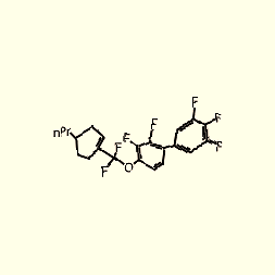 CCCC1CC=C(C(F)(F)Oc2ccc(-c3cc(F)c(F)c(F)c3)c(F)c2F)CC1